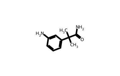 CC(C)(C(N)=O)c1cccc(N)c1